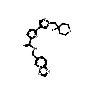 O=C(NCc1ccc2ncnn2c1)c1ccc(-c2cnn(CC3(F)CCOCC3)c2)o1